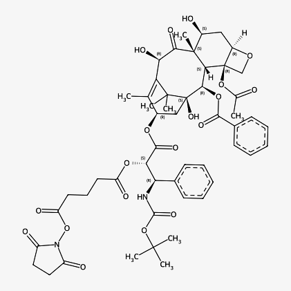 CC(=O)O[C@]12CO[C@@H]1C[C@H](O)[C@@]1(C)C(=O)[C@H](O)C3=C(C)[C@H](OC(=O)[C@@H](OC(=O)CCCC(=O)ON4C(=O)CCC4=O)[C@H](NC(=O)OC(C)(C)C)c4ccccc4)C[C@@](O)([C@H](OC(=O)c4ccccc4)[C@@H]21)C3(C)C